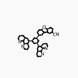 N#Cc1ccc2oc3ccc(-c4cc(-c5cc6cccnc6c6ncccc56)cc(-c5cc6cccnc6c6ncccc56)c4)cc3c2c1